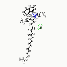 CCCCCCCCCCCCCCCCCC[N+](CCC)(CCC)c1cccc2ccccc12.[Cl-]